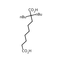 CCCCC(CCCC)(CCCCCCC(=O)O)C(=O)O